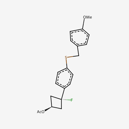 COc1ccc(CSc2ccc([C@]3(F)C[C@H](OC(C)=O)C3)cc2)cc1